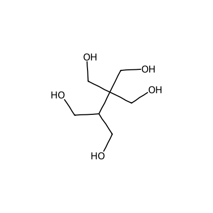 OCC(CO)C(CO)(CO)CO